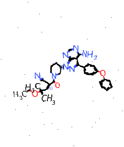 CCOC(C)(C)/C=C(\C#N)C(=O)N1CCC[C@@H](n2nc(-c3ccc(Oc4ccccc4)cc3)c3c(N)ncnc32)C1